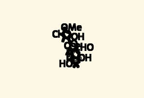 COc1cc(O)c(C(=O)O[C@@H]2C[C@]3(C)[C@H]4[C@@H](O)C(C)(C)C[C@@]4(O)C=C(C=O)[C@]23O)c(C)c1Cl